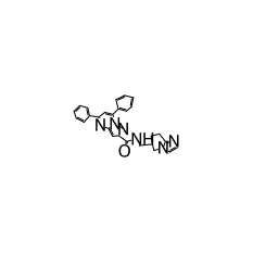 O=C(NCC1CCc2nccn2C1)c1cc2nc(-c3ccccc3)cc(-c3ccccc3)n2n1